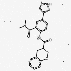 CN(C)C(=O)c1cc(-c2cn[nH]c2)ccc1NC(=O)C1COc2ccccc2C1